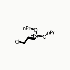 CCCO[SiH](C=CCCl)OCCC